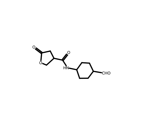 O=CC1CCC(NC(=O)C2COC(=O)C2)CC1